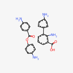 Nc1ccc(-c2cccc(C(=O)O)c2N)cc1.Nc1ccc(OC(=O)c2ccc(N)cc2)cc1